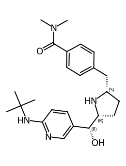 CN(C)C(=O)c1ccc(C[C@@H]2CC[C@H]([C@H](O)c3ccc(NC(C)(C)C)nc3)N2)cc1